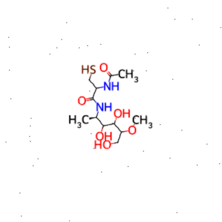 COC(CO)C(O)C(O)[C@@H](C)NC(=O)C(CS)NC(C)=O